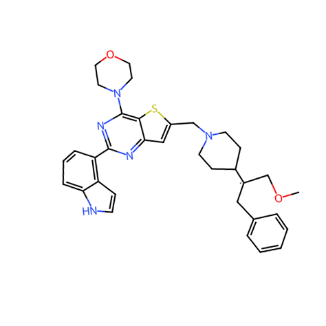 COC[C](Cc1ccccc1)C1CCN(Cc2cc3nc(-c4cccc5[nH]ccc45)nc(N4CCOCC4)c3s2)CC1